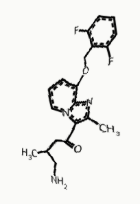 Cc1nc2c(OCc3c(F)cccc3F)cccn2c1C(=O)CC(C)CN